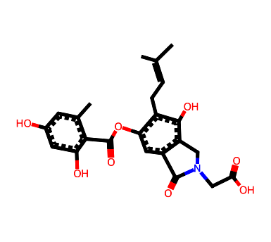 CC(C)=CCc1c(OC(=O)c2c(C)cc(O)cc2O)cc2c(c1O)CN(CC(=O)O)C2=O